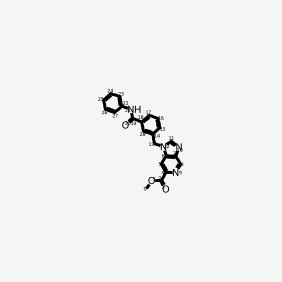 COC(=O)c1cc2c(cn1)ncn2Cc1cccc(C(=O)Nc2ccccc2)c1